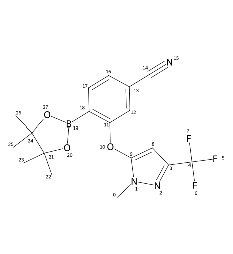 Cn1nc(C(F)(F)F)cc1Oc1cc(C#N)ccc1B1OC(C)(C)C(C)(C)O1